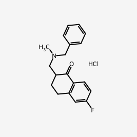 CN(Cc1ccccc1)CC1CCc2cc(F)ccc2C1=O.Cl